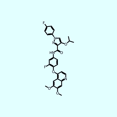 COc1cc2nccc(Oc3ccc(NC(=O)c4nn(-c5ccc(F)cc5)cc4OC(C)C)cc3F)c2cc1OC